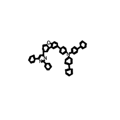 c1ccc(-c2ccc(N(c3ccc(-c4ccccc4)cc3)c3ccc(-c4ccc5oc6ccc(-c7cc(-c8ccccc8)nc(-c8ccccc8)n7)cc6c5c4)cc3)cc2)cc1